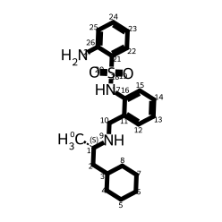 C[C@@H](CC1CCCCC1)NCc1ccccc1NS(=O)(=O)c1ccccc1N